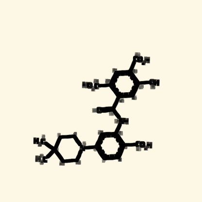 CC1(C)CCN(c2ccc(C(=O)O)c(NC(=O)c3cc(O)c(C(=O)O)cc3C(=O)O)c2)CC1